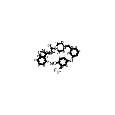 N#Cc1ccc(Oc2cccc(CN3CCN(C(=O)Nc4noc5ccccc45)CC3)c2)cc1C(F)(F)F